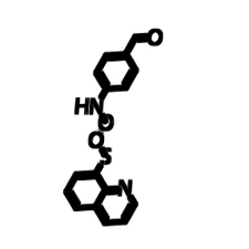 O=Cc1ccc(NOOSc2cccc3cccnc23)cc1